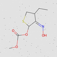 CCC1CSC(OC(=O)OC)C1=NO